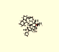 Cc1[nH]c2ccccc2c1C[C@](NC(=O)OCC1c2ccccc2-c2ccccc21)(C(=O)O)[C@H](CO)Cc1c(C(N)=O)[nH]c2ccccc12